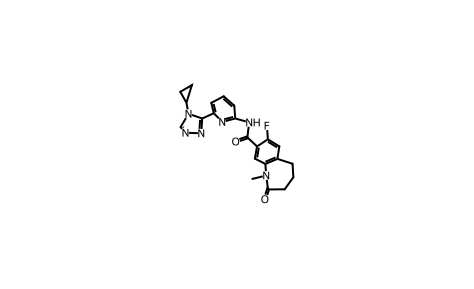 CN1C(=O)CCCc2cc(F)c(C(=O)Nc3cccc(-c4nncn4C4CC4)n3)cc21